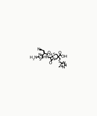 Cn1nnnc1SCC1(C(=O)O)CS[C@@H]2C(NC(=O)C(=CC#N)c3csc(N)n3)C(=O)N2C1